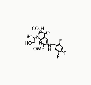 COc1nc2c(cc1NCc1cc(F)c(F)cc1F)c(=O)c(C(=O)O)cn2C(CO)C(C)C